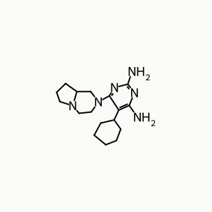 Nc1nc(N)c(C2CCCCC2)c(N2CCN3CCCC3C2)n1